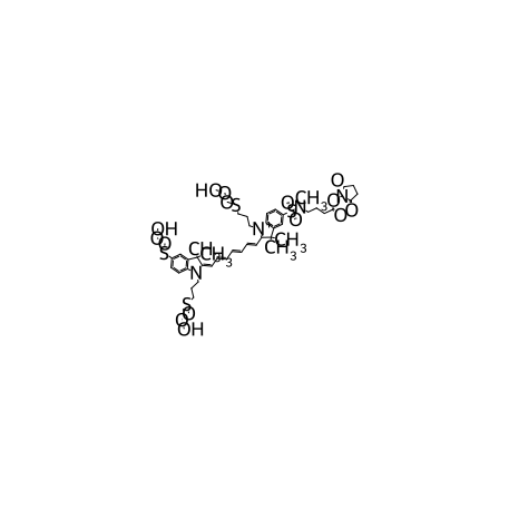 CN(CCCC(=O)ON1C(=O)CCC1=O)S(=O)(=O)c1ccc2c(c1)C(C)(C)C(/C=C/C=C/C=C/C=C1/N(CCCSOOO)c3ccc(SOOO)cc3C1(C)C)=[N+]2CCCSOOO